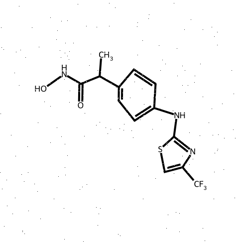 CC(C(=O)NO)c1ccc(Nc2nc(C(F)(F)F)cs2)cc1